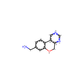 NCc1ccc2c(c1)OCc1ncncc1-2